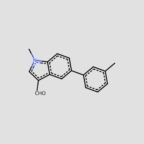 Cc1cccc(-c2ccc3c(c2)c(C=O)cn3C)c1